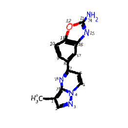 Cc1cnn2ccc(-c3ccc4oc(N)nc4c3)nc12